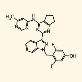 Cc1cc(Nc2nc(-c3nn(Cc4c(F)cc(O)cc4F)c4ccccc34)nc3c2CCC3)ncn1